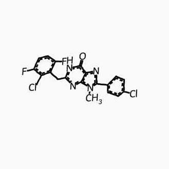 Cn1c(-c2ccc(Cl)cc2)nc2c(=O)[nH]c(Cc3c(F)ccc(F)c3Cl)nc21